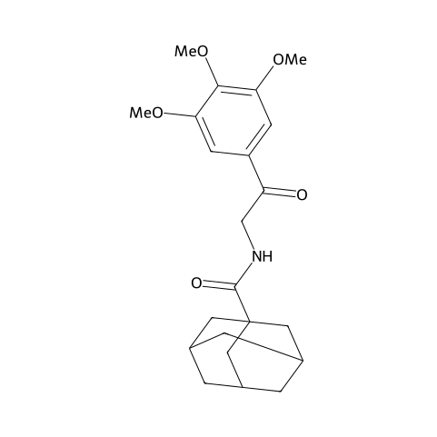 COc1cc(C(=O)CNC(=O)C23CC4CC(CC(C4)C2)C3)cc(OC)c1OC